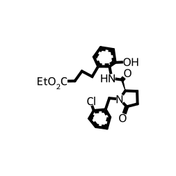 CCOC(=O)CCCc1cccc(O)c1NC(=O)[C@H]1CCC(=O)N1Cc1ccccc1Cl